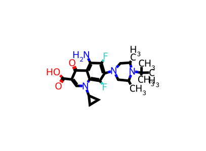 CC1CN(c2c(F)c(N)c3c(=O)c(C(=O)O)cn(C4CC4)c3c2F)CC(C)N1C(C)(C)C